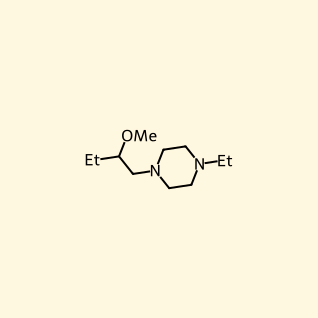 CCC(CN1CCN(CC)CC1)OC